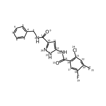 O=C(NCc1ccccc1)c1cc(NC(=O)c2cc(F)c(F)cc2Cl)[nH]n1